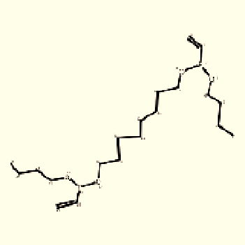 C=CP(OCCCC)OCCCCCCCCOP(C=C)OCCCC